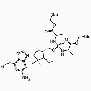 CCOc1nc(N)nc2c1ncn2[C@@H]1O[C@H](COP(=O)(N[C@H](C)C(=O)OCC(C)(C)C)N[C@H](C)C(=O)OCC(C)(C)C)[C@@H](O)[C@@]1(C)F